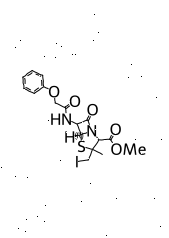 COC(=O)C1N2C(=O)C(NC(=O)COc3ccccc3)[C@H]2SC1(C)CI